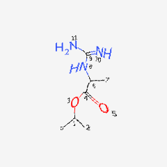 CC(C)OC(=O)C(C)NC(=N)N